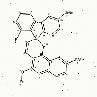 CCOc1nc2ccc(OC)cc2c2c1C=CC(c1ccc(OC)cc1)(c1ccccc1F)O2